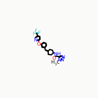 Cn1nncc1C(=O)NC1CCC(=Cc2cccc(Oc3ccc(C(F)(F)F)cn3)c2)CC1